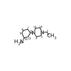 CCN1CCN(C2CCCC(N)C2)CC1